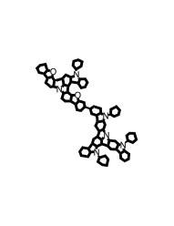 c1ccc(-n2c3ccc(-c4ccc5c(c4)oc4c5ccc5c4c4c6c7ccccc7n(-c7ccccc7)c6cc6c7c8oc9ccccc9c8ccc7n5c64)cc3c3cc4c5cc6c7ccccc7n(-c7ccccc7)c6c6c7cc8c9ccccc9n(-c9ccccc9)c8cc7n(c4cc32)c56)cc1